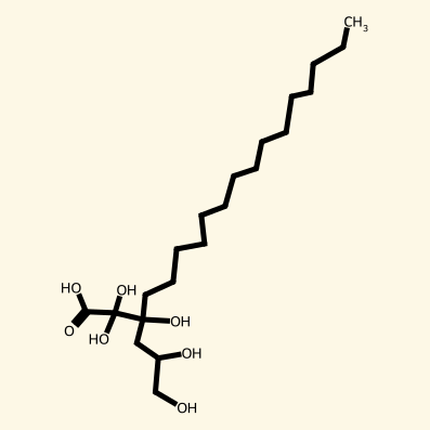 CCCCCCCCCCCCCCCC(O)(CC(O)CO)C(O)(O)C(=O)O